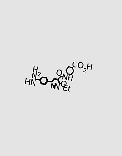 CCOc1nnc(-c2ccc(C(=N)N)cc2)cc1C(=O)N[C@H]1CC[C@H](C(=O)O)CC1